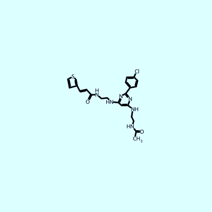 CC(=O)NCCNc1cc(NCCNC(=O)C=Cc2ccsc2)nc(-c2ccc(Cl)cc2)n1